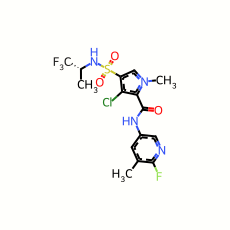 Cc1cc(NC(=O)c2c(Cl)c(S(=O)(=O)N[C@H](C)C(F)(F)F)cn2C)cnc1F